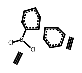 C#C.C#C.ClB(Cl)c1ccccc1.c1ccccc1